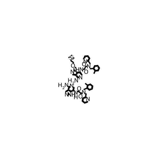 Cc1ccccc1CN(Cc1ccccn1)C(=O)C(=O)Nc1cnc(N)c2cn[nH]c12.Cc1ccccc1CN(Cc1ccccn1)C(=O)C(=O)Nc1cnc(N)c2cnn(COCC[Si](C)(C)C)c12